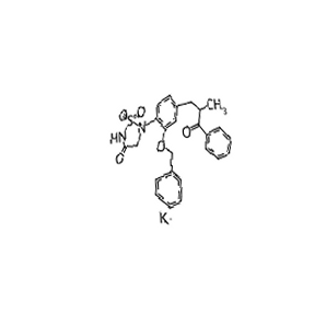 CC(Cc1ccc(N2CC(=O)NS2(=O)=O)c(OCc2ccccc2)c1)C(=O)c1ccccc1.[K]